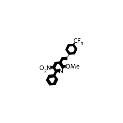 COc1nc(-c2ccccc2)c([N+](=O)[O-])cc1/C=C/[C@H]1CC[C@H](C(F)(F)F)CC1